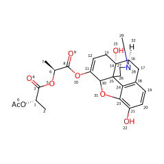 CC(=O)O[C@@H](C)C(=O)O[C@@H](C)C(=O)OC1=CC[C@@]2(O)[C@H]3Cc4ccc(O)c5c4C2(CCN3C)C1O5